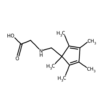 CC1=C(C)C(C)(CNCC(=O)O)C(C)=C1C